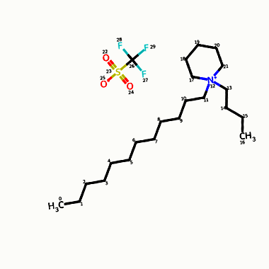 CCCCCCCCCCCC[N+]1(CCCC)CCCCC1.O=S(=O)([O-])C(F)(F)F